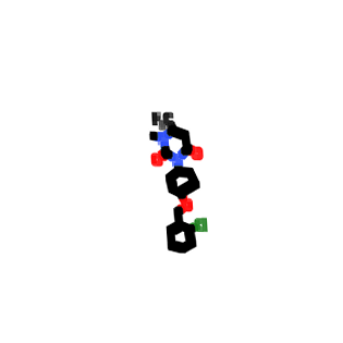 Cn1c(C(F)(F)F)cc(=O)n(-c2ccc(OCc3ccccc3Cl)cc2)c1=O